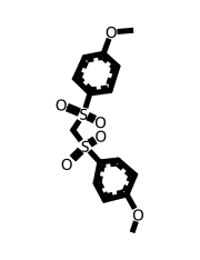 COc1ccc(S(=O)(=O)CS(=O)(=O)c2ccc(OC)cc2)cc1